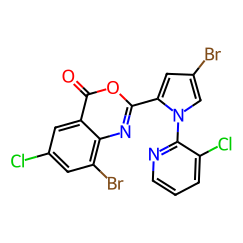 O=c1oc(-c2cc(Br)cn2-c2ncccc2Cl)nc2c(Br)cc(Cl)cc12